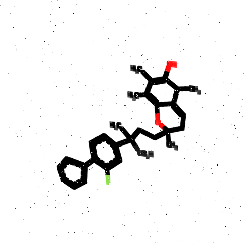 CC1=C2OC(C)(CCC(C)(C(=O)O)c3ccc(-c4ccccc4)c(F)c3)CC=C2C(C)C(O)=C1C